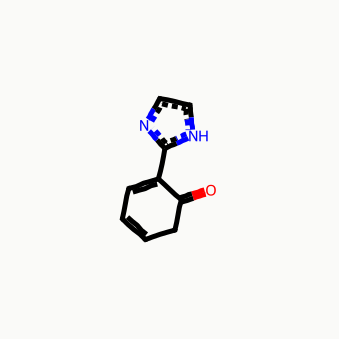 O=C1CC=CC=C1c1ncc[nH]1